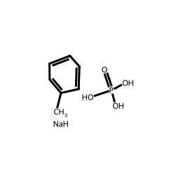 Cc1ccccc1.O=P(O)(O)O.[NaH]